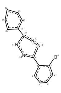 Clc1ccccc1-c1nnc(-c2ccccc2)nn1